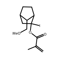 C=C(C)C(=O)OC1(I)CC2CCC1C2COC